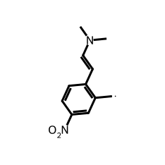 [CH2]c1cc([N+](=O)[O-])ccc1C=CN(C)C